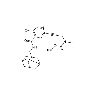 CCN(CC#Cc1cc(C(=O)NCC23CC4CC(CC(C4)C2)C3)c(Cl)cn1)C(=O)OC(C)(C)C